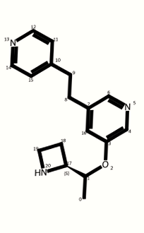 CC(Oc1cncc(CCc2ccncc2)c1)[C@@H]1CCN1